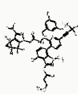 COCCC(=O)Nc1nn(C)c2c(-c3ccc(C#CC(C)(C)O)nc3[C@H](Cc3cc(F)cc(F)c3)NC(=O)Cn3nc(C(F)F)c4c3C(F)(F)[C@@H]3C[C@H]43)ccc(Cl)c12